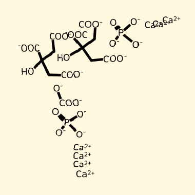 O=C([O-])CC(O)(CC(=O)[O-])C(=O)[O-].O=C([O-])CC(O)(CC(=O)[O-])C(=O)[O-].O=C([O-])[O-].O=P([O-])([O-])[O-].O=P([O-])([O-])[O-].[Ca+2].[Ca+2].[Ca+2].[Ca+2].[Ca+2].[Ca+2].[Ca+2]